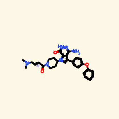 CN(C)C/C=C/C(=O)N1CCC(n2cc(-c3ccc(Oc4ccccc4)cc3)c3c(N)n[nH]c(=O)c32)CC1